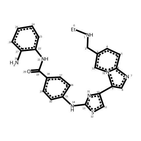 CCNCc1ccc2ncc(-c3csc(Nc4ccc(C(=O)Nc5ccccc5N)cc4)n3)n2c1